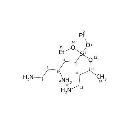 CCO[Si](CCC(N)CCN)(OCC)OC(C)CCN